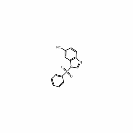 N#Cc1ccc2ncn(S(=O)(=O)c3ccccc3)c2c1